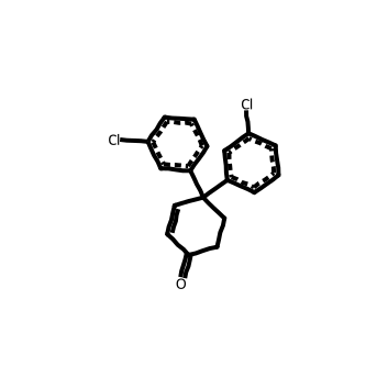 O=C1C=CC(c2cccc(Cl)c2)(c2cccc(Cl)c2)CC1